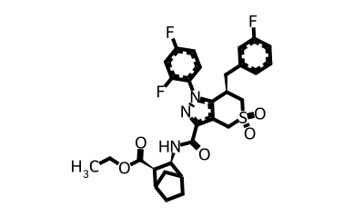 CCOC(=O)[C@@H]1C2CCC(C2)[C@@H]1NC(=O)c1nn(-c2ccc(F)cc2F)c2c1CS(=O)(=O)C[C@@H]2Cc1cccc(F)c1